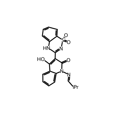 CC(C)C=Nn1c(=O)c(C2=NS(=O)(=O)c3ccccc3N2)c(O)c2ccccc21